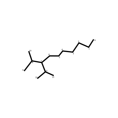 CCCCCCC[C](C(C)C)C(C)C